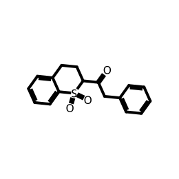 O=C(Cc1ccccc1)C1CCc2ccccc2S1(=O)=O